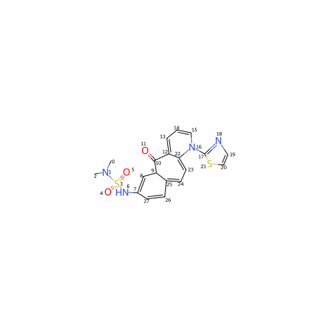 CN(C)S(=O)(=O)NC1=CC2C(=O)C3=CC=CN(c4nccs4)C3=CC=C2C=C1